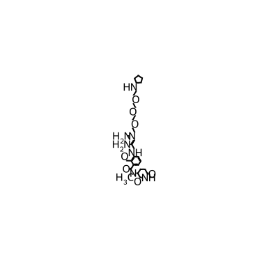 CN(C(=O)c1cccc(NC/C(N)=C/N(N)CCOCCOCCOCCNC2CCCC2)c1C=O)C1CCC(=O)NC1=O